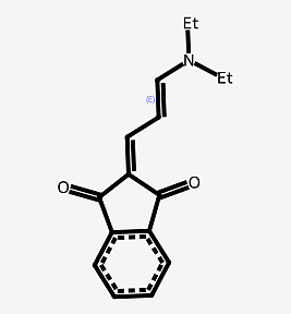 CCN(/C=C/C=C1C(=O)c2ccccc2C1=O)CC